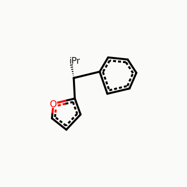 CC(C)[C@H](c1ccccc1)c1ccco1